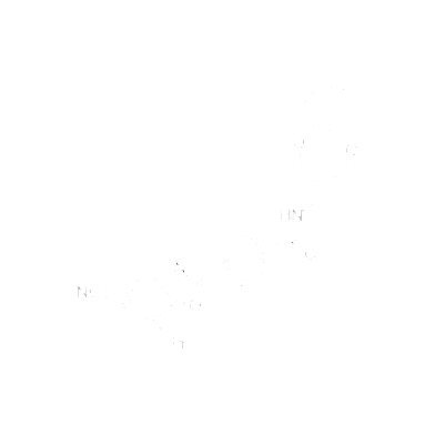 CC(C)c1cc(C#N)cc2nc(-c3ccc(C(=O)NCC4COc5ccccc5OC4)cc3)oc12